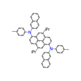 Cc1ccc(N(c2ccc3ccccc3c2)c2ccc3c(C(C)C)cc4c(N(c5ccc(C)cc5)c5ccc6ccccc6c5)ccc5c(C(C)C)cc2c3c54)cc1